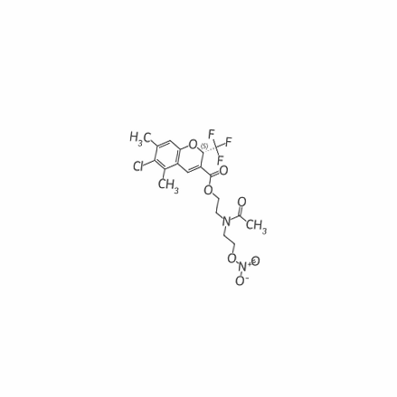 CC(=O)N(CCOC(=O)C1=Cc2c(cc(C)c(Cl)c2C)O[C@@H]1C(F)(F)F)CCO[N+](=O)[O-]